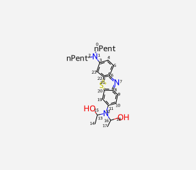 CCCCCN(CCCCC)c1ccc2nc3ccc(N(C(C)O)C(C)O)cc3[s+]c2c1